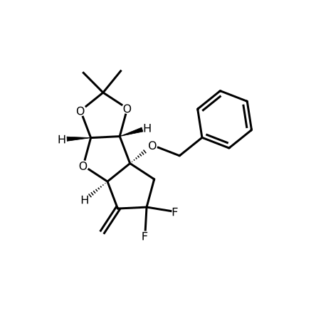 C=C1[C@H]2O[C@@H]3OC(C)(C)O[C@@H]3[C@@]2(OCc2ccccc2)CC1(F)F